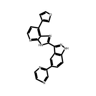 c1cnc(-c2ccc3[nH]nc(-c4nc5c(-c6ccoc6)ccnc5[nH]4)c3c2)cn1